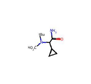 CC(C)(C)N(C(=O)O)C(C(N)=O)C1CC1